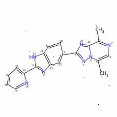 Cc1ncc(C)n2nc(-c3ccc4[nH]c(-c5ccccn5)nc4c3)nc12